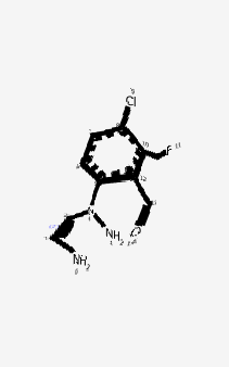 N/C=C\N(N)c1ccc(Cl)c(F)c1C=O